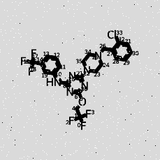 FC(F)(F)COc1nc(Nc2cccc(C(F)(F)F)c2)nc(N2CCN(Cc3ccccc3Cl)CC2)n1